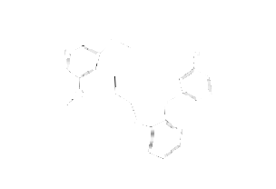 COc1cncc(OC)c1CCCOc1cccnc1Oc1cccc(Br)c1